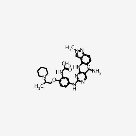 CC(=O)Nc1cc(Nc2ncc(C(N)=O)c(Nc3cccc4nn(C)cc34)n2)ccc1OCC(C)N1CCCCC1